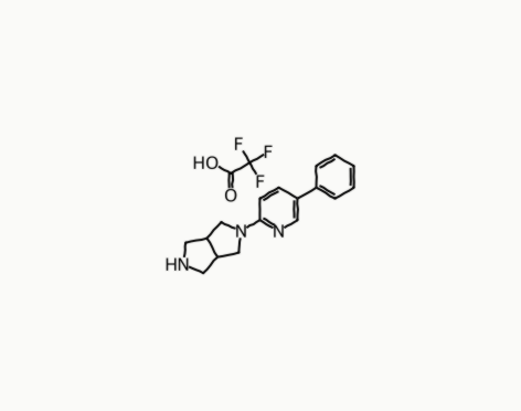 O=C(O)C(F)(F)F.c1ccc(-c2ccc(N3CC4CNCC4C3)nc2)cc1